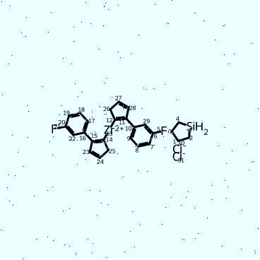 C1CC[SiH2]C1.Fc1cccc(C2=[C]([Zr+2][C]3=C(c4cccc(F)c4)C=CC3)CC=C2)c1.[Cl-].[Cl-]